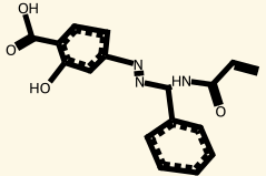 C=CC(=O)NC(N=Nc1ccc(C(=O)O)c(O)c1)c1ccccc1